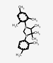 Cc1ccc(N2CN(c3c(C)cc(C)cc3C)C(C)C2(C)C)c(C)c1